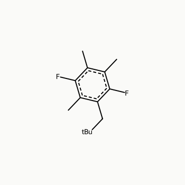 Cc1c(C)c(F)c(CC(C)(C)C)c(C)c1F